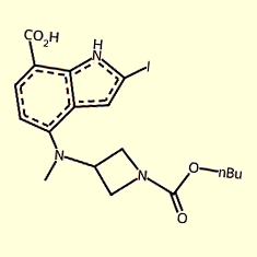 CCCCOC(=O)N1CC(N(C)c2ccc(C(=O)O)c3[nH]c(I)cc23)C1